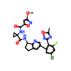 COc1cc(C(=O)NC2(C(=O)NC3CCc4cc(-c5cc(Cl)cc(F)c5-c5noc(C)n5)cnc43)CC2)on1